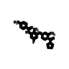 Cc1cnc(C(=O)Nc2cc(F)cc(CN3CCN(C(=O)C4CCCC4)C(C)C3)c2C)cn1